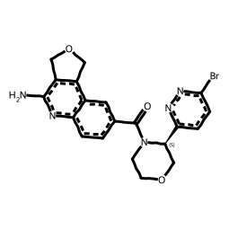 Nc1nc2ccc(C(=O)N3CCOC[C@@H]3c3ccc(Br)nn3)cc2c2c1COC2